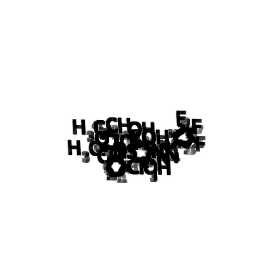 CC1(C)CC(O)(C(c2ccccc2C(F)(F)F)[SH]2C[C@H](O)[C@H](n3cc(-c4cc(F)c(F)c(F)c4)nn3)[C@@H](O)[C@H]2CO)CC(C)(C)O1